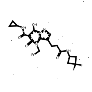 CC(C)Cn1c(=O)c(C(=O)NC2CC2)c(O)n2ncc(CCC(=O)NC3CC(F)(F)C3)c12